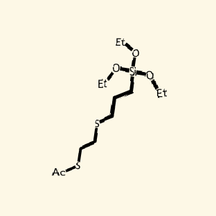 CCO[Si](CCCSCCSC(C)=O)(OCC)OCC